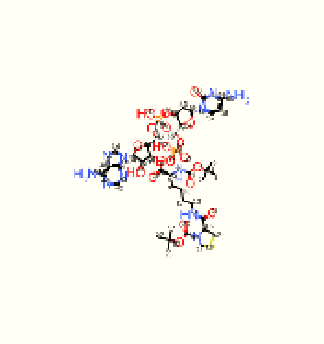 CC(C)(C)OC(=O)N[C@@H](CCCCNC(=O)C1CSCN1C(=O)OC(C)(C)C)C(=O)O[C@H]1[C@@H](O)[C@H](n2cnc3c(N)ncnc32)O[C@@H]1COP(=O)(O)O[C@H]1C[C@H](n2ccc(N)nc2=O)O[C@@H]1COP(=O)(O)O